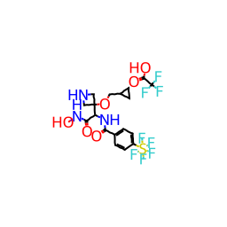 O=C(NC(C(=O)NO)C1(OCC2CC2)CNC1)c1ccc(S(F)(F)(F)(F)F)cc1.O=C(O)C(F)(F)F